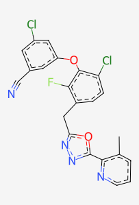 Cc1cccnc1-c1nnc(Cc2ccc(Cl)c(Oc3cc(Cl)cc(C#N)c3)c2F)o1